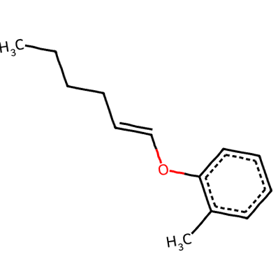 CCCC/C=C/Oc1ccccc1C